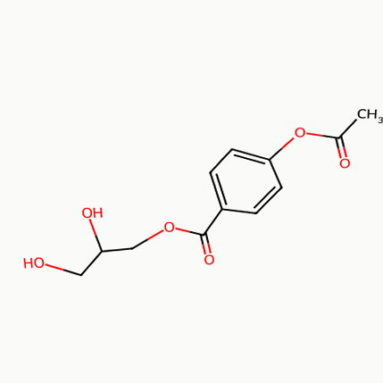 CC(=O)Oc1ccc(C(=O)OCC(O)CO)cc1